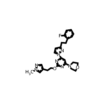 Cn1cc(CCOc2nc(N3CCOCC3)cc(-n3ccc(CCc4ccccc4F)n3)n2)cn1